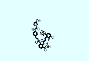 O=C(/C=C/c1c(-n2cnnn2)ccc(Cl)c1F)Nc1c(NC(=O)CCc2ccc(NC(=O)N3CC[C@@H](O)C3)cc2)cccc1C(=O)O